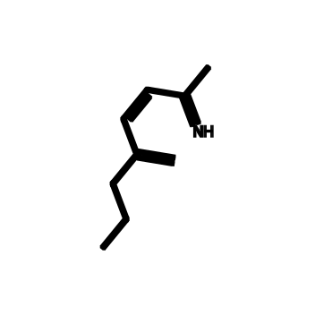 C=C(/C=C\C(C)=N)CCC